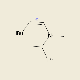 CCC(C)/C=C\N(C)C(C)C(C)C